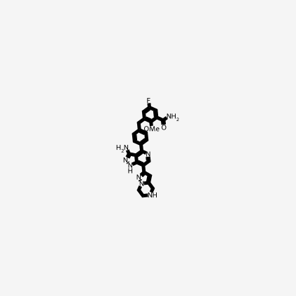 COc1c(Cc2ccc(-c3ncc(-c4cc5n(n4)CCNC5)c4[nH]nc(N)c34)cc2)cc(F)cc1C(N)=O